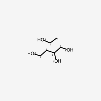 CCO.OCCC(O)CO